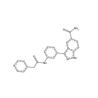 NC(=O)c1ccc2[nH]nc(-c3cccc(NC(=O)Cc4ccncc4)c3)c2c1